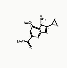 COC(=O)c1cc(OC)c2c(c1)cc(C1CC1)n2N